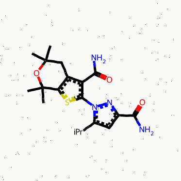 CC(C)c1cc(C(N)=O)nn1-c1sc2c(c1C(N)=O)CC(C)(C)OC2(C)C